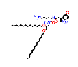 CCCCCCCCCCCCCCOCC(CNC(=O)[C@H](CCCCN)NC(=O)Cc1c[nH]c2ccc(OC)cc12)OCCCCCCCCCCCCCC